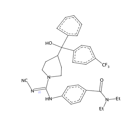 CCN(CC)C(=O)c1ccc(N/C(=N/C#N)N2CCC(C(O)(c3ccccc3)c3ccc(C(F)(F)F)cc3)CC2)cc1